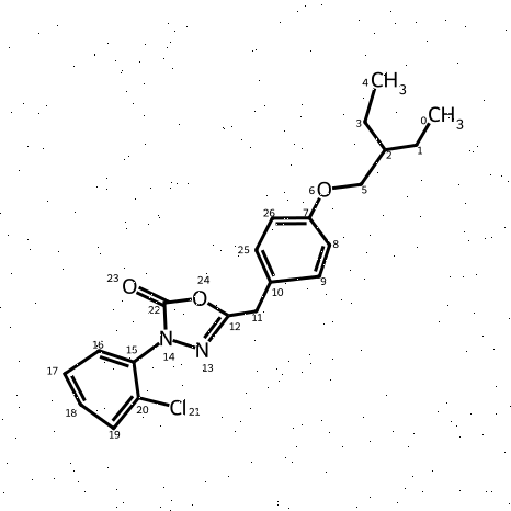 CCC(CC)COc1ccc(Cc2nn(-c3ccccc3Cl)c(=O)o2)cc1